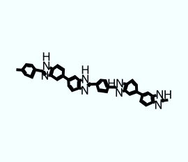 Cc1ccc(-c2nc3cc(-c4ccc5nc(-c6ccc(-c7nc8cc(-c9ccc%10nc(C)[nH]c%10c9)ccc8[nH]7)cc6)[nH]c5c4)ccc3[nH]2)cc1